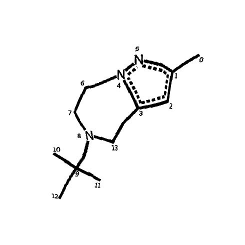 Cc1cc2n(n1)CCN(C(C)(C)C)C2